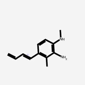 C=C/C=C/c1ccc(NC)c(N)c1C